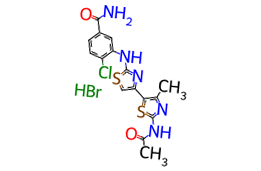 Br.CC(=O)Nc1nc(C)c(-c2csc(Nc3cc(C(N)=O)ccc3Cl)n2)s1